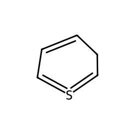 C1=CCC=S=C1